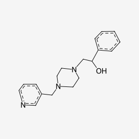 OC(CN1CCN(Cc2cccnc2)CC1)c1ccccc1